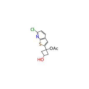 CC(=O)OC1(c2cc3ccc(Cl)nc3s2)CC(O)C1